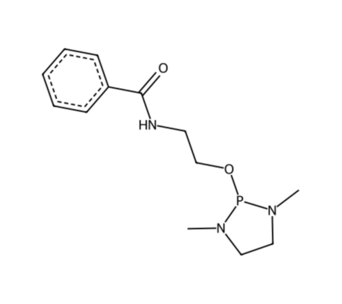 CN1CCN(C)P1OCCNC(=O)c1ccccc1